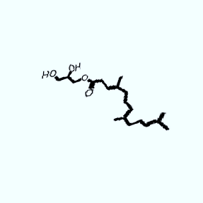 CC(C)=CCCC(C)=CCCC(C)=CCC(=O)OCC(O)CO